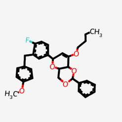 CCCCOC1=CC(c2ccc(F)c(Cc3ccc(OC)cc3)c2)OC2COC(c3ccccc3)OC12